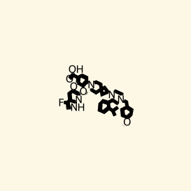 COc1ccc(CN2CCN(C3CC4(CCN(c5ccc(C(=O)O)c(Oc6cc7c(F)c[nH]c7nc6OC)c5)CC4)C3)C(c3ccccc3C(C)C)C2)cc1